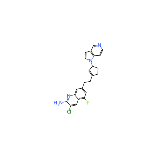 Nc1nc2cc(CCC3=CC(n4ccc5cnccc54)CC3)cc(F)c2cc1Cl